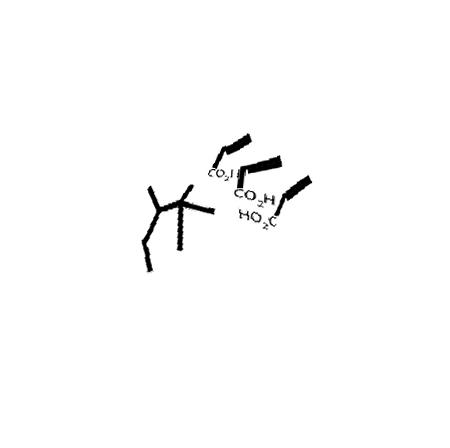 C=CC(=O)O.C=CC(=O)O.C=CC(=O)O.CCC(C)C(C)(C)C